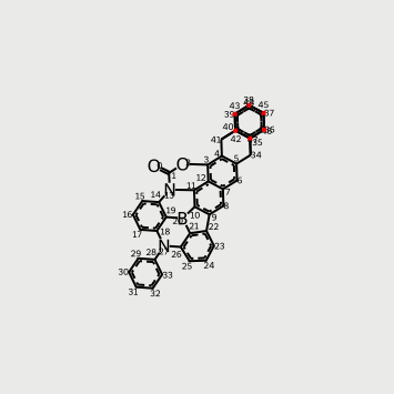 O=C1Oc2c3c(cc4cc5c6c(c24)N1c1cccc2c1B6c1c-5cccc1N2c1ccccc1)C1c2ccccc2C3c2ccccc21